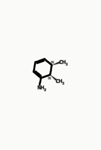 C[C@@H]1C(N)=CC=C[C@@H]1C